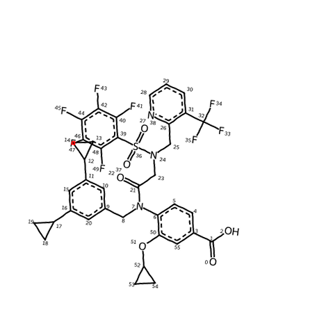 O=C(O)c1ccc(N(Cc2cc(C3CC3)cc(C3CC3)c2)C(=O)CN(Cc2ncccc2C(F)(F)F)S(=O)(=O)c2c(F)c(F)c(F)c(F)c2F)c(OC2CC2)c1